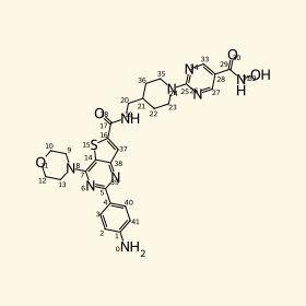 Nc1ccc(-c2nc(N3CCOCC3)c3sc(C(=O)NCC4CCN(c5ncc(C(=O)NO)cn5)CC4)cc3n2)cc1